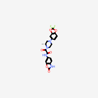 C[C@@H]1CN(c2ccc3c(c2)OC(F)(F)O3)CCN1C(=O)C(=O)Nc1ccc2[nH]c(=O)oc2c1